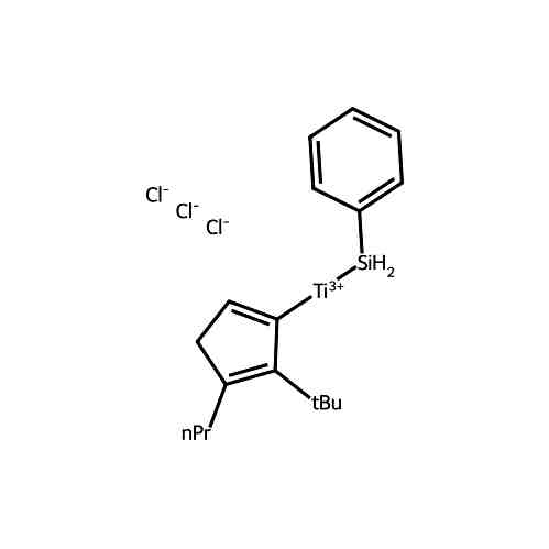 CCCC1=C(C(C)(C)C)[C]([Ti+3][SiH2]c2ccccc2)=CC1.[Cl-].[Cl-].[Cl-]